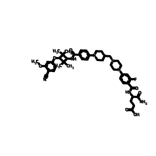 COc1cc(OC2C(C)(C)C(NC(=O)c3ccc(N4CCC(CN5CCN(c6ccc(C(=O)NC(CCC(=O)O)C(N)=O)c(F)c6)CC5)CC4)cc3)C2(C)C)ccc1C#N